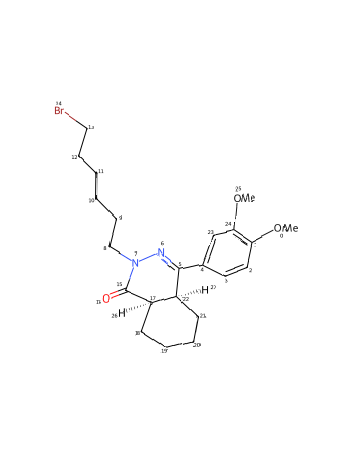 COc1ccc(C2=NN(CCCCCCBr)C(=O)[C@@H]3CCCC[C@H]23)cc1OC